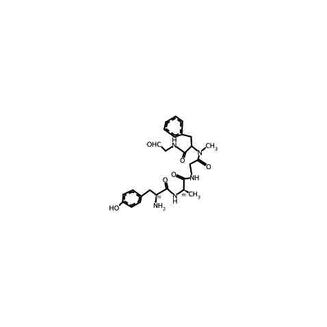 C[C@@H](NC(=O)[C@@H](N)Cc1ccc(O)cc1)C(=O)NCC(=O)N(C)C(Cc1ccccc1)C(=O)NC[C]=O